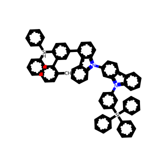 Cc1ccccc1-c1cc(-c2cccc3c2c2ccccc2n3-c2ccc3c4ccccc4n(-c4cccc([Si](c5ccccc5)(c5ccccc5)c5ccccc5)c4)c3c2)ccc1[SiH](c1ccccc1)c1ccccc1